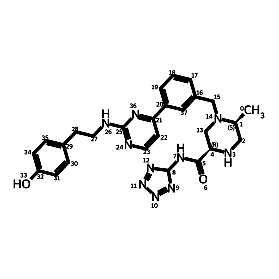 C[C@H]1CN[C@@H](C(=O)NC2N=NN=N2)CN1Cc1cccc(-c2ccnc(NCCc3ccc(O)cc3)n2)c1